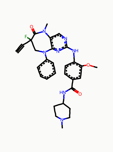 C#CC1(F)CN(c2ccccc2)c2nc(Nc3ccc(C(=O)NC4CCN(C)CC4)cc3OC)ncc2N(C)C1=O